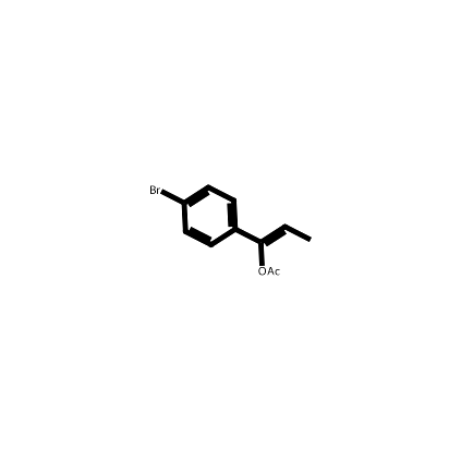 CC=C(OC(C)=O)c1ccc(Br)cc1